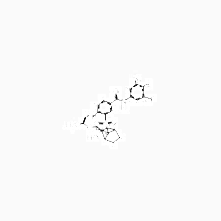 CC(=O)OC[C@@]1(O)CC2CCC1[C@@H]2S(=O)(=O)c1cc(C(=O)Nc2cc(F)c(F)c(F)c2)ccc1Cl